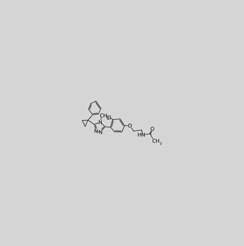 CC(=O)NCCOc1ccc(-c2nnc(C3(c4ccccc4)CC3)n2C)c(Cl)c1